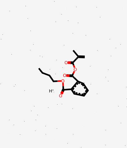 C=C(C)C(=O)OC(=O)c1ccccc1C(=O)OCCCC.[H+]